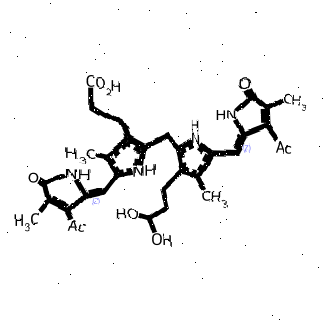 CC(=O)C1=C(C)C(=O)N/C1=C\c1[nH]c(Cc2[nH]c(/C=C3\NC(=O)C(C)=C3C(C)=O)c(C)c2CCC(O)O)c(CCC(=O)O)c1C